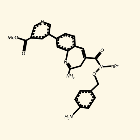 CCCN(OCc1ccc(N)cc1)C(=O)C1=Cc2ccc(-c3cncc(C(=O)OC)c3)cc2N=C(N)C1